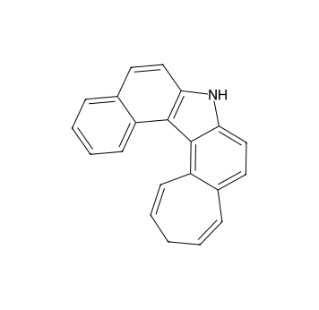 C1=Cc2ccc3[nH]c4ccc5ccccc5c4c3c2C=CC1